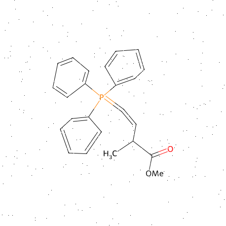 COC(=O)C(C)C=C=P(c1ccccc1)(c1ccccc1)c1ccccc1